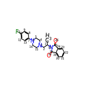 CC(CN1CCN(c2ccc(F)cc2)CC1)N1C(=O)c2ccccc2C1=O